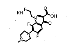 CN1CCN(c2c(F)cc3c(=O)c(C(=O)O)cn(CCF)c3c2F)CC1.[KH]